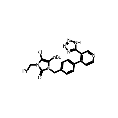 CCCCc1c(Cl)n(CC(C)C)c(=O)n1Cc1ccc(-c2ccncc2-c2nnn[nH]2)cc1